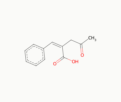 CC(=O)CC(=Cc1ccccc1)C(=O)O